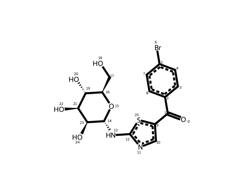 O=C(c1ccc(Br)cc1)c1cnc(N[C@H]2O[C@H](CO)[C@@H](O)[C@H](O)[C@@H]2O)s1